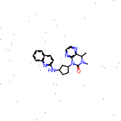 CC1c2nccnc2N(C2CCC(Nc3ccc4ccccc4n3)C2)C(=O)N1C